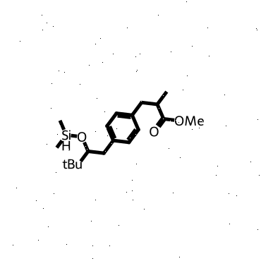 COC(=O)C(C)Cc1ccc(CC(O[SiH](C)C)C(C)(C)C)cc1